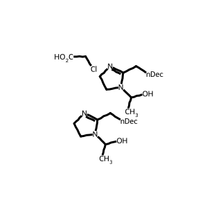 CCCCCCCCCCCC1=NCCN1C(C)O.CCCCCCCCCCCC1=NCCN1C(C)O.O=C(O)CCl